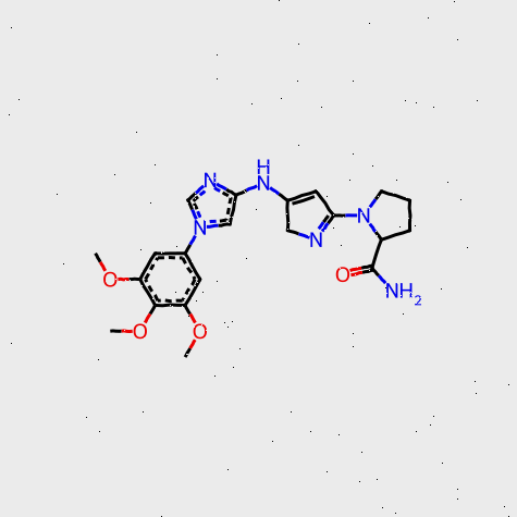 COc1cc(-n2cnc(NC3=CC(N4CCCC4C(N)=O)=NC3)c2)cc(OC)c1OC